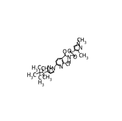 Cc1nn(C)cc1S(=O)(=O)NC(=O)c1ccc(-n2ccc(S(C)(C)C(C)(C)C)n2)nc1Cl